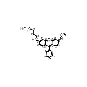 CCC/N=c1/ccc2c(-c3ccccc3)c3ccc(NCCCS(=O)(=O)O)cc3oc-2c1